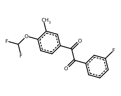 Cc1cc(C(=O)C(=O)c2cccc(F)c2)ccc1OC(F)F